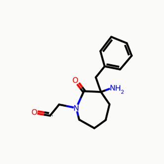 NC1(Cc2ccccc2)CCCCN(C[C]=O)C1=O